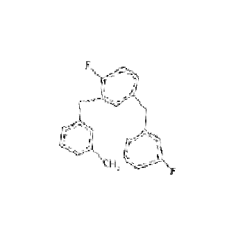 Cc1cccc(Cc2cc(Cc3cccc(F)c3)ccc2F)c1